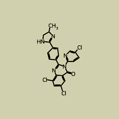 CC1CNC(c2ccc(-c3nc4c(Cl)cc(Cl)cc4c(=O)n3-c3ccc(Cl)cn3)cc2)=N1